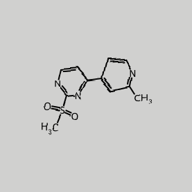 Cc1cc(-c2ccnc(S(C)(=O)=O)n2)ccn1